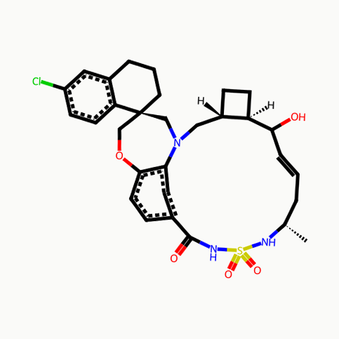 C[C@H]1C/C=C/C(O)[C@@H]2CC[C@H]2CN2C[C@@]3(CCCc4cc(Cl)ccc43)COc3ccc(cc32)C(=O)NS(=O)(=O)N1